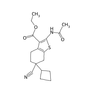 CCOC(=O)c1c(NC(C)=O)sc2c1CCC(C#N)(C1CCC1)C2